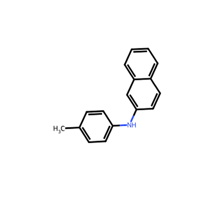 Cc1ccc(Nc2ccc3ccccc3c2)cc1